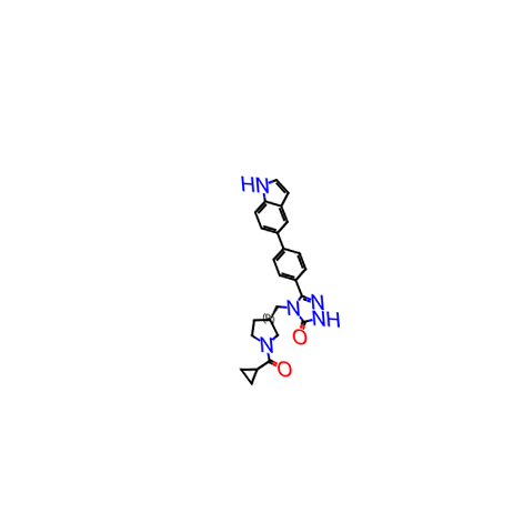 O=C(C1CC1)N1CC[C@@H](Cn2c(-c3ccc(-c4ccc5[nH]ccc5c4)cc3)n[nH]c2=O)C1